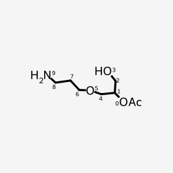 CC(=O)OC(CO)COCCCN